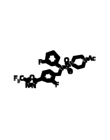 CC(=O)N1CCN(S(=O)(=O)N(Cc2ccc(-c3nnc(C(F)(F)F)o3)cc2F)c2cccc(F)c2)CC1